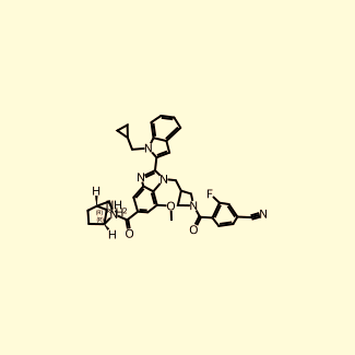 COc1cc(C(=O)N2C[C@H]3CC[C@@H]2[C@@H]3N)cc2nc(-c3cc4ccccc4n3CC3CC3)n(CC3CN(C(=O)c4ccc(C#N)cc4F)C3)c12